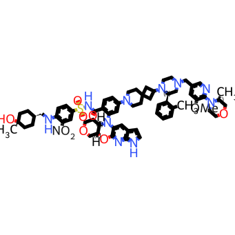 COc1cc(CN2CCN(C3CC4(CCN(c5ccc(C(=O)NS(=O)(=O)c6ccc(NC[C@H]7CC[C@](C)(O)CC7)c([N+](=O)[O-])c6)c(N6c7cc8cc[nH]c8nc7O[C@H]7COCC[C@@H]76)c5)CC4)C3)[C@H](c3ccccc3C)C2)cnc1N1CCOC[C@@H]1C